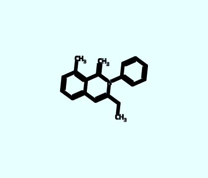 C=C1c2c(C)cccc2C=C(CC)N1c1ccccc1